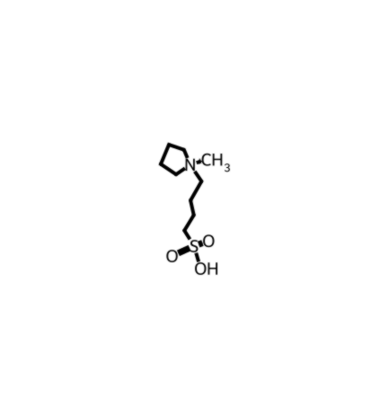 C[N+]1(CCCCS(=O)(=O)O)CCCC1